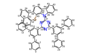 c1ccc(-c2cc(-c3ccccc3)cc(-c3nc(-c4cc(-c5ccccc5)cc(-c5ccccc5)c4)nc(-n4c5ccccc5c5ccc6c(c54)Sc4cccc5cccc-6c45)n3)c2)cc1